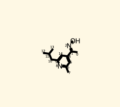 CC(=NO)c1cc(C)nc(CC(C)C)c1